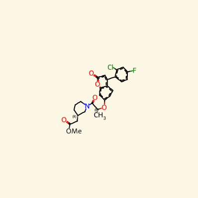 COC(=O)C[C@H]1CCCN(C(=O)[C@@H](C)Oc2ccc3c(-c4ccc(F)cc4Cl)cc(=O)oc3c2)C1